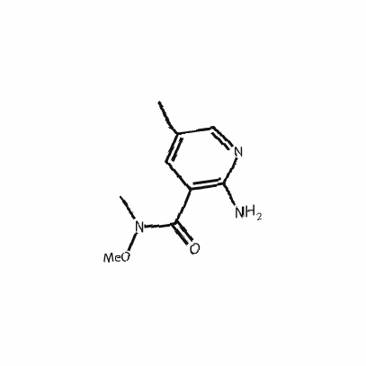 CON(C)C(=O)c1cc(C)cnc1N